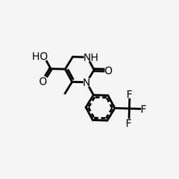 CC1=C(C(=O)O)CNC(=O)N1c1cccc(C(F)(F)F)c1